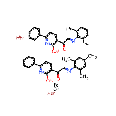 Br.Br.CC(C)c1cccc(C(C)C)c1N=CC(=O)c1ccc(-c2ccccc2)nc1O.Cc1cc(C)c(N=CC(=O)c2ccc(-c3ccccc3)nc2O)c(C)c1.[Cu].[Fe]